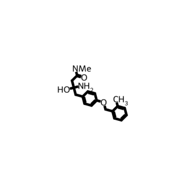 CNC(=O)CC(N)(O)Cc1ccc(OCc2ccccc2C)cc1